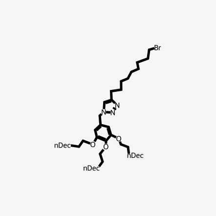 CCCCCCCCCCCCOc1cc(Cn2cc(CCCCCCCCCBr)nn2)cc(OCCCCCCCCCCCC)c1OCCCCCCCCCCCC